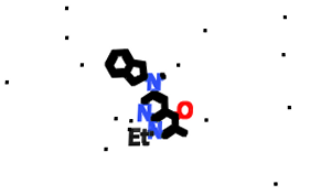 CCn1cc(C)c(=O)c2cc(N(C)C3Cc4ccccc4C3)cnc21